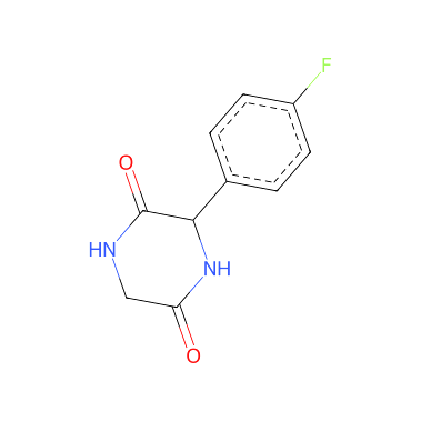 O=C1CNC(=O)C(c2ccc(F)cc2)N1